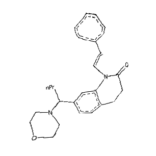 CCCC(c1ccc2c(c1)N(C=Cc1ccccc1)C(=O)CC2)N1CCOCC1